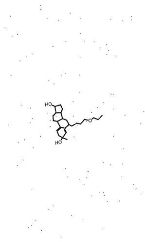 CCCOCCCCC1CC2C(CCC3C(O)CCC32)C2=CCC(C)(O)C=C21